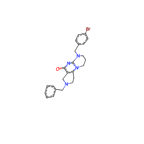 O=c1nc2n(c3c1CN(Cc1ccccc1)CC3)CCCN2Cc1ccc(Br)cc1